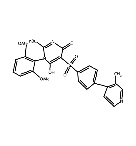 CCCCc1nc(=O)c(S(=O)(=O)c2ccc(-c3ccncc3C)cc2)c(O)n1-c1c(OC)cccc1OC